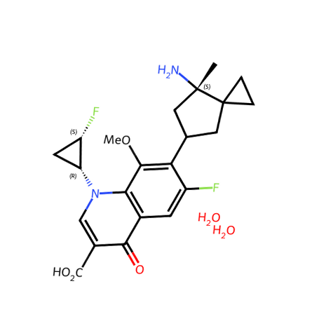 COc1c(C2CC3(CC3)[C@@](C)(N)C2)c(F)cc2c(=O)c(C(=O)O)cn([C@@H]3C[C@@H]3F)c12.O.O